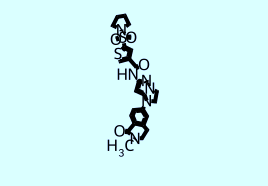 CN1CCc2cc(N3CCn4nc(NC(=O)c5csc(S(=O)(=O)N6CCCC6)c5)cc43)ccc2C1=O